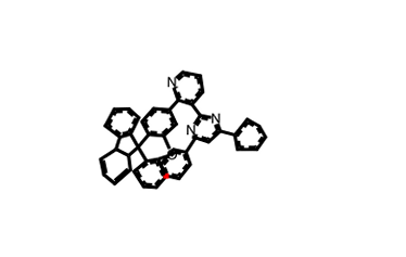 C1=CC2c3ccccc3C3(c4ccccc4Oc4cc(-c5ncccc5-c5nc(-c6ccccc6)cc(-c6ccccc6)n5)ccc43)C2C=C1